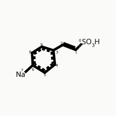 O=S(=O)(O)C=Cc1cc[c]([Na])cc1